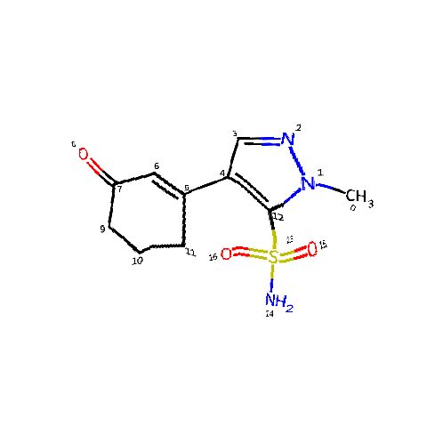 Cn1ncc(C2=CC(=O)CCC2)c1S(N)(=O)=O